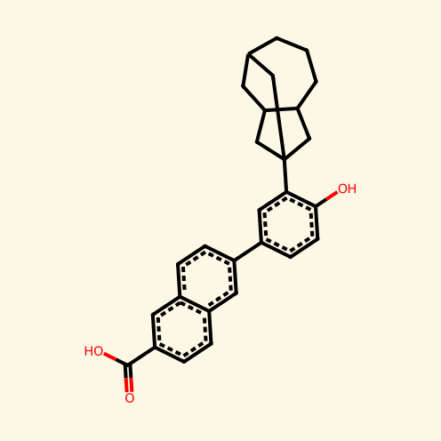 O=C(O)c1ccc2cc(-c3ccc(O)c(C45CC6CCCC(C4)C(C6)C5)c3)ccc2c1